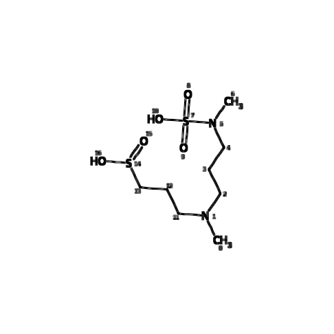 CN(CCCN(C)S(=O)(=O)O)CCCS(=O)O